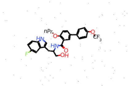 CCCOc1ccc(-c2ccc(OC(F)(F)F)cc2)cc1C(=O)NC(CO)Cc1c[nH]c2ccc(F)cc12